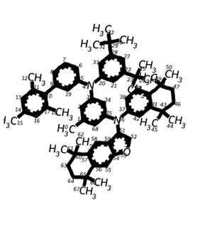 Cc1cc(N(c2cccc(-c3c(C)cc(C)cc3C)c2)c2cc(C(C)(C)C)cc(C(C)(C)C)c2)cc(N(c2ccc3c(c2)C(C)(C)CCC3(C)C)c2coc3cc4c(cc23)C(C)(C)CCC4(C)C)c1